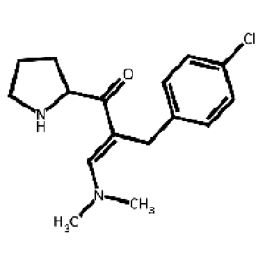 CN(C)C=C(Cc1ccc(Cl)cc1)C(=O)C1CCCN1